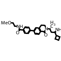 COCCNC(=O)c1ccc(-c2ccc3c(c2)CCN([C@H](C)CC(=N)C2CCC2)C3=O)cc1